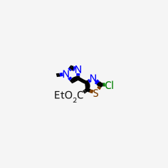 CCOC(=O)c1sc(Cl)nc1-c1cn(C)cn1